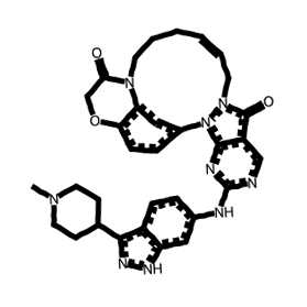 CN1CCC(c2n[nH]c3cc(Nc4ncc5c(=O)n6n(c5n4)-c4ccc5c(c4)N(CCC/C=C\C6)C(=O)CO5)ccc23)CC1